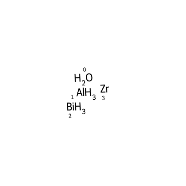 O.[AlH3].[BiH3].[Zr]